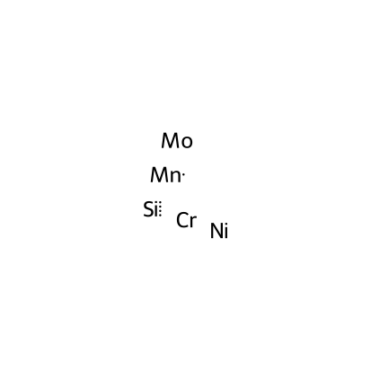 [Cr].[Mn].[Mo].[Ni].[Si]